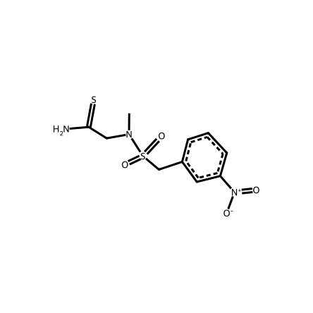 CN(CC(N)=S)S(=O)(=O)Cc1cccc([N+](=O)[O-])c1